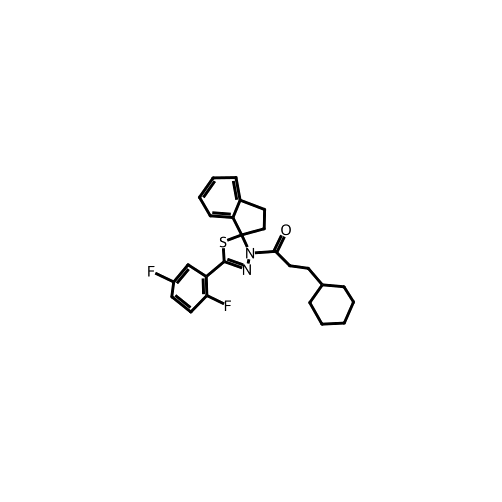 O=C(CCC1CCCCC1)N1N=C(c2cc(F)ccc2F)SC12CCc1ccccc12